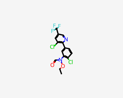 CCON(C=O)c1cc(-c2ncc(C(F)(F)F)cc2Cl)ccc1Cl